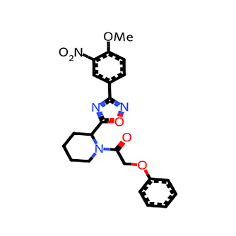 COc1ccc(-c2noc(C3CCCCN3C(=O)COc3ccccc3)n2)cc1[N+](=O)[O-]